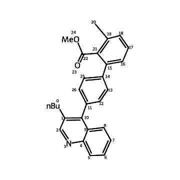 CCCCc1cnc2ccccc2c1-c1ccc(-c2cccc(C)c2C(=O)OC)cc1